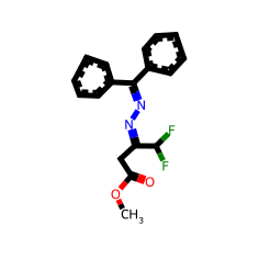 COC(=O)CC(=NN=C(c1ccccc1)c1ccccc1)C(F)F